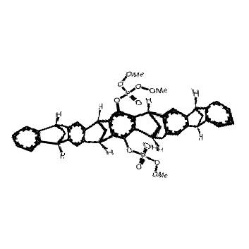 COOP(=O)(O)Oc1c2c(c(OP(=O)(OOC)OOC)c3c1[C@H]1C[C@@H]3c3cc4c(cc31)[C@H]1C[C@@H]4c3ccccc31)[C@H]1C[C@@H]2c2cc3c(cc21)[C@H]1C[C@@H]3c2ccccc21